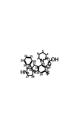 O=C(O)[C@H]1CCCCN1c1c(Cl)c(F)cc2c1CC1(c3ccccc3)CNCCN21